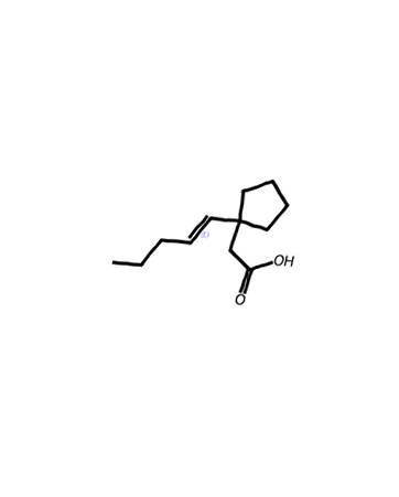 CCC/C=C/C1(CC(=O)O)CCCC1